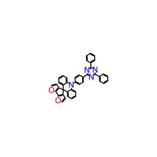 c1ccc(-c2nc(-c3ccccc3)nc(-c3ccc(N4c5ccccc5C5(c6ccccc64)c4ccoc4-c4occc45)cc3)n2)cc1